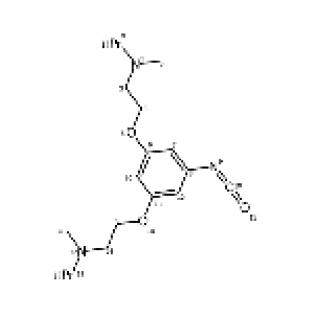 CCCN(C)CCOc1cc(N=C=O)cc(OCCN(C)CCC)c1